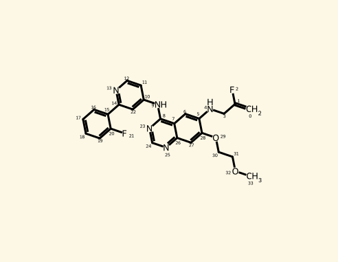 C=C(F)CNc1cc2c(Nc3ccnc(-c4ccccc4F)c3)ncnc2cc1OCCOC